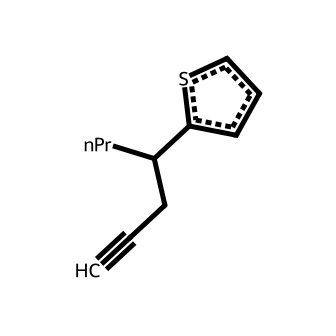 C#CCC(CCC)c1cccs1